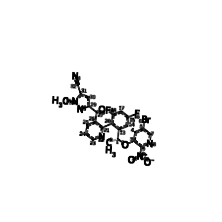 C[C@@H](Oc1cc(Br)cnc1[N+](=O)[O-])c1cc(F)cc(F)c1-c1ncccc1C(=O)c1cc(C#N)n(C)n1